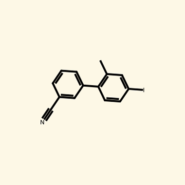 Cc1cc(I)ccc1-c1cccc(C#N)c1